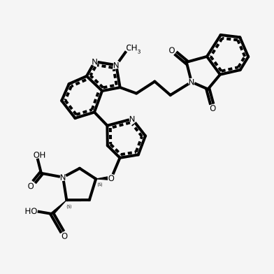 Cn1nc2cccc(-c3cc(O[C@H]4C[C@@H](C(=O)O)N(C(=O)O)C4)ccn3)c2c1CCCN1C(=O)c2ccccc2C1=O